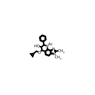 CC(=O)N1c2c(ccc3c2nc(C)n3C)C(OCC2CC2)C(O)C1c1ccccc1